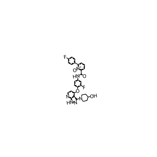 O=C(Nc1ccc(Oc2ccnc3[nH]nc(N4CCC(O)CC4)c23)c(F)c1)c1cccc(-c2ccc(F)cc2)[n+]1[O-]